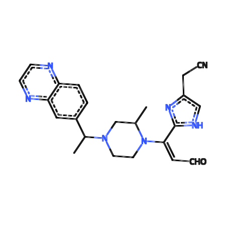 CC(c1ccc2nccnc2c1)N1CCN(/C(=C/C=O)c2nc(CC#N)c[nH]2)C(C)C1